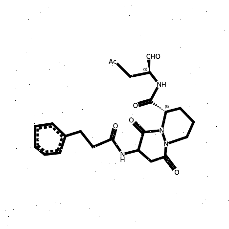 CC(=O)C[C@@H](C=O)NC(=O)[C@@H]1CCCN2C(=O)CC(NC(=O)CCc3ccccc3)C(=O)N12